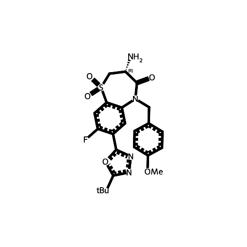 COc1ccc(CN2C(=O)[C@@H](N)CS(=O)(=O)c3cc(F)c(-c4nnc(C(C)(C)C)o4)cc32)cc1